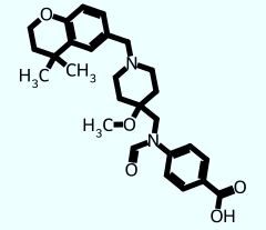 COC1(CN(C=O)c2ccc(C(=O)O)cc2)CCN(Cc2ccc3c(c2)C(C)(C)CCO3)CC1